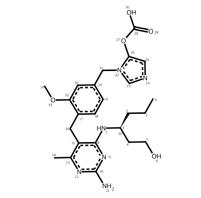 CCC[C@@H](CCO)Nc1nc(N)nc(C)c1Cc1ccc(Cn2cncc2OC(=O)O)cc1OC